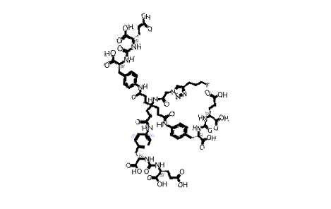 C=C(/C=C\C(=C/C)NC(=O)CCC(CCC(=O)Nc1ccc(C[C@H](NC(=O)N[C@@H](CCC(=O)O)C(=O)O)C(=O)O)cc1)(CCC(=O)Nc1ccc(C[C@H](NC(=O)N[C@@H](CCC(=O)O)C(=O)O)C(=O)O)cc1)NC(=O)Cn1cc(CCCF)nn1)C[C@H](NC(=O)N[C@@H](CCC(=O)O)C(=O)O)C(=O)O